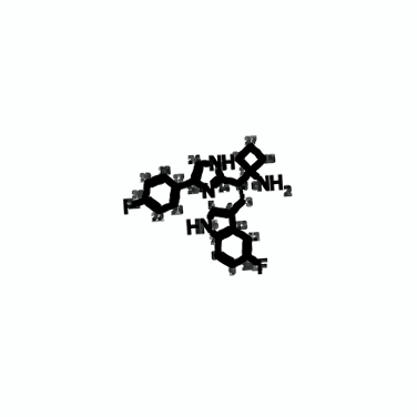 NC1([C@H](Cc2c[nH]c3ccc(F)cc23)c2nc(-c3ccc(F)cc3)c[nH]2)CCC1